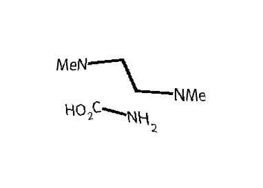 CNCCNC.NC(=O)O